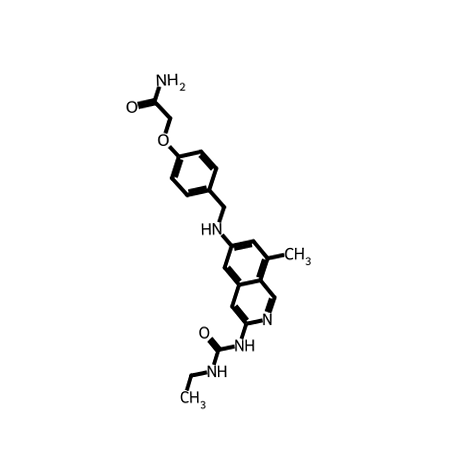 CCNC(=O)Nc1cc2cc(NCc3ccc(OCC(N)=O)cc3)cc(C)c2cn1